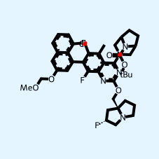 COCOc1cc(-c2c(Cl)c(C)c3c(N4CC5CCC(C4)N5C(=O)OC(C)(C)C)nc(OC[C@@]45CCCN4C[C@H](F)C5)nc3c2F)c2c(F)cccc2c1